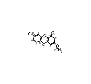 COC1=CC2=C(Sc3cc(Cl)ccc3C2)C(=O)C1